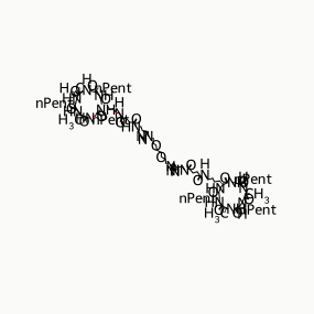 CCCCC[C@H]1NC(=O)[C@H](C)NC(=O)[C@@H](CCCCC)NC(=O)[C@H](CCCCNC(=O)CCC(=O)NCc2cn(CCOCCOCCn3cc(CNC(=O)CCC(=O)NCCCC[C@@H]4NC(=O)[C@@H](CCCCC)NC(=O)[C@H](C)NC(=O)[C@@H](CCCCC)NC(=O)[C@H](C)NC(=O)[C@@H](CCCCC)NC4=O)nn3)nn2)NC(=O)[C@@H](CCCCC)NC(=O)[C@H](C)NC1=O